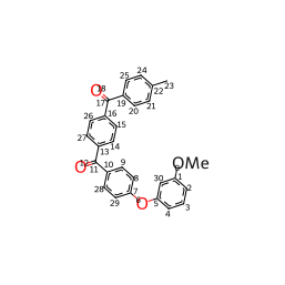 COc1cccc(Oc2ccc(C(=O)c3ccc(C(=O)c4ccc(C)cc4)cc3)cc2)c1